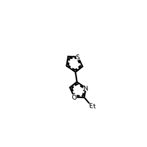 CCc1nc(-c2ccsc2)co1